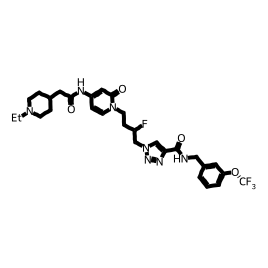 CCN1CCC(CC(=O)Nc2ccn(CCC(F)Cn3cc(C(=O)NCc4cccc(OC(F)(F)F)c4)nn3)c(=O)c2)CC1